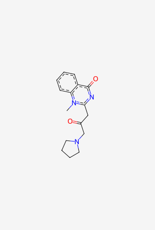 Cn1c(CC(=O)CN2CCCC2)nc(=O)c2ccccc21